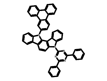 c1ccc(-c2nc(-c3ccccc3)nc(-n3c4ccccc4c4c3ccc3c5ccccc5n(-c5ccc6c7ccccc7c7ccccc7c6c5)c34)n2)cc1